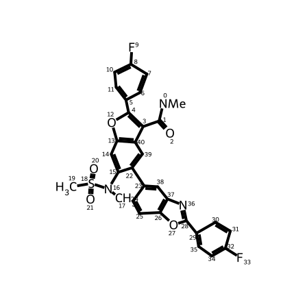 CNC(=O)c1c(-c2ccc(F)cc2)oc2cc(N(C)S(C)(=O)=O)c(-c3ccc4oc(-c5ccc(F)cc5)nc4c3)cc12